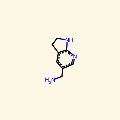 NCc1cnc2c(c1)CCN2